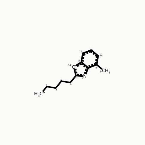 CCCCCc1nc2c(C)cccc2o1